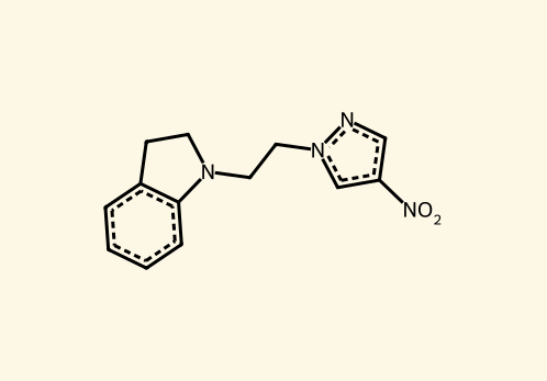 O=[N+]([O-])c1cnn(CCN2CCc3ccccc32)c1